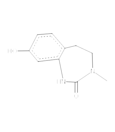 CN1CCc2ccc(O)cc2NC1=O